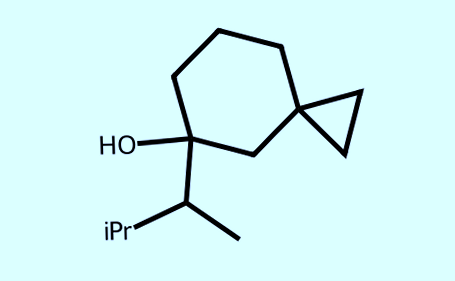 CC(C)C(C)C1(O)CCCC2(CC2)C1